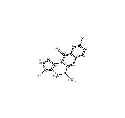 C[C@H](N)c1cc2ccc(F)cc2c(=O)n1-c1cc(F)[nH]n1